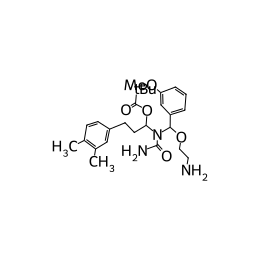 COc1cccc(C(OCCN)N(C(N)=O)C(CCc2ccc(C)c(C)c2)OC(=O)C(C)(C)C)c1